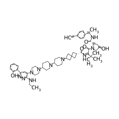 C#Cc1ccc([C@H](C)NC(=O)[C@@H]2C[C@@H](O)CN2C(=O)[C@@H](NC(=O)[C@H]2CC3(C2)C[C@H](N2CCC(N4CCC(N5CCN(c6cc(-c7ccccc7O)nnc6NCC)CC5)CC4)CC2)C3)C(C)(C)C)cc1